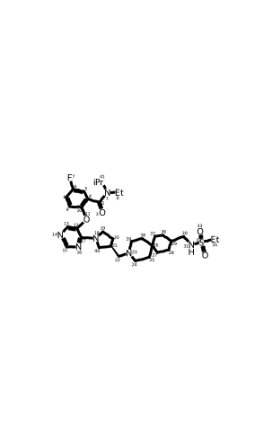 CCN(C(=O)c1cc(F)ccc1Oc1cncnc1N1CC[C@@H](CN2CCC3(CCC(CNS(=O)(=O)CC)CC3)CC2)C1)C(C)C